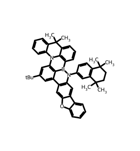 CC(C)(C)c1cc2c3c(c1)N1c4ccccc4C(C)(C)c4cccc(c41)B3N(c1ccc3c(c1)C(C)(C)CCC3(C)C)c1cc3c(cc1-2)oc1ccccc13